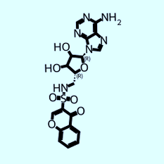 Nc1ncnc2c1ncn2[C@@H]1O[C@H](CNS(=O)(=O)c2coc3ccccc3c2=O)C(O)C1O